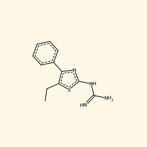 CCc1sc(NC(=N)N)nc1-c1ccccc1